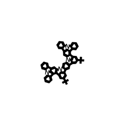 CC(C)(C)c1cc2c3cc4c5cc(C(C)(C)C)cc6c7c8c9ccccc9n9c%10ccccc%10c(cc7n(c4cc3n3c4cc7c%10ccccc%10n%10c%11ccccc%11c(c4c(c1)c23)c7%10)c56)c89